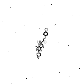 Cc1nc(N2CCN(C)CC2)nc2ncc(NC(=O)CCc3ccc(Cl)cc3)nc12